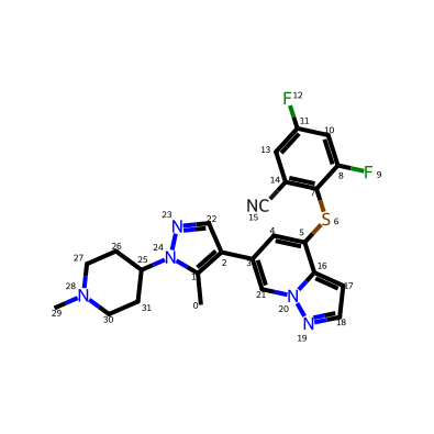 Cc1c(-c2cc(Sc3c(F)cc(F)cc3C#N)c3ccnn3c2)cnn1C1CCN(C)CC1